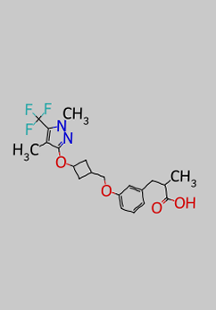 Cc1c(OC2CC(COc3cccc(CC(C)C(=O)O)c3)C2)nn(C)c1C(F)(F)F